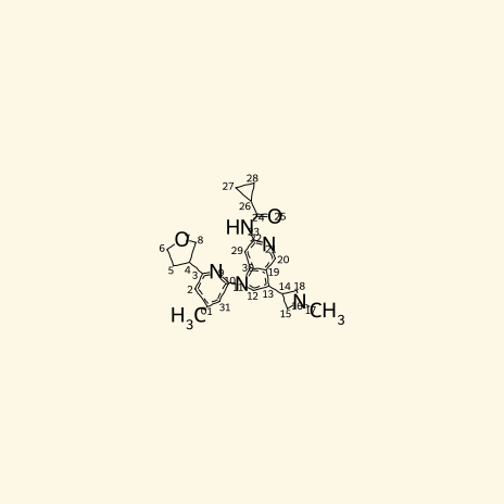 Cc1cc(C2CCOC2)nc(-n2cc(C3CN(C)C3)c3cnc(NC(=O)C4CC4)cc32)c1